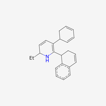 CCC1C=CC(C2C=CC=CC2)=C(C2CC=Cc3ccccc32)N1